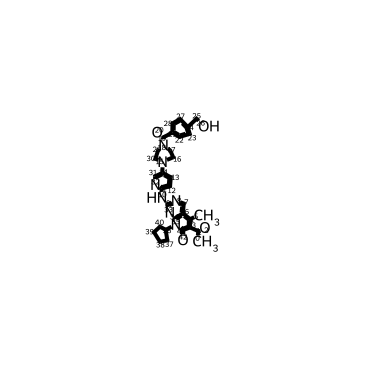 CC(=O)c1c(C)c2cnc(Nc3ccc(N4CCN(C(=O)c5ccc(CO)cc5)CC4)cn3)nc2n(C2CCCC2)c1=O